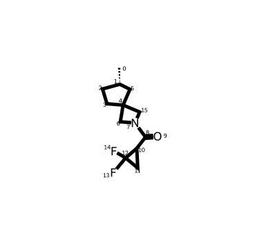 C[C@H]1CCC2(C1)CN(C(=O)C1CC1(F)F)C2